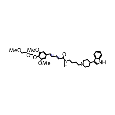 COCCOCOc1c(OC)cc(/C=C/C=C/C(=O)NCCCCN2CCC(c3c[nH]c4ccccc34)CC2)cc1OC